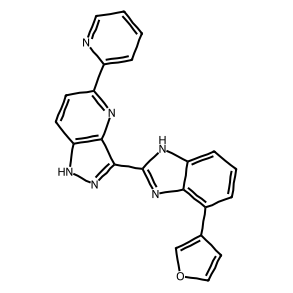 c1ccc(-c2ccc3[nH]nc(-c4nc5c(-c6ccoc6)cccc5[nH]4)c3n2)nc1